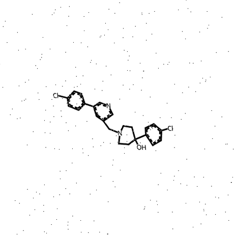 OC1(c2ccc(Cl)cc2)CCN(Cc2cncc(-c3ccc(Cl)cc3)c2)CC1